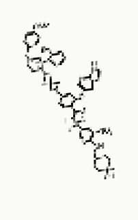 COc1ccc(CN2CCN(C3CC4(C3)CN(c3ccc(C(=O)NS(=O)(=O)c5cnc(NCC6CCC(C)(O)CC6)c([N+](=O)[O-])c5)c(Oc5cnc6[nH]ccc6c5)c3)C4)[C@H](c3ccccc3C(C)C)C2)cc1